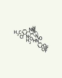 Cc1ccc(C(=N)/C(C(N)=O)=C2/CN(C(=O)Nc3ccc4c(c3)OC(F)(F)O4)CCN2)cc1Cl